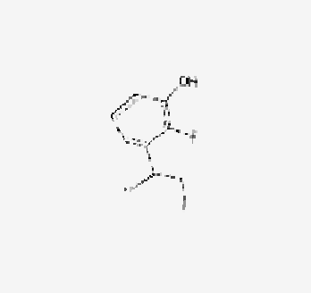 [CH2]C(CF)c1cccc(O)c1F